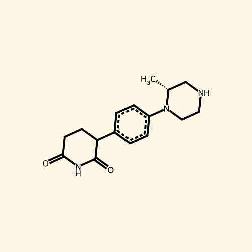 C[C@@H]1CNCCN1c1ccc(C2CCC(=O)NC2=O)cc1